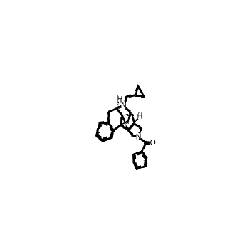 O=C(c1ccccc1)N1C[C@H]2C[C@@]34CCC1C2[C@@]31CCN(CC2CC2)[C@@H]4Cc2ccccc21